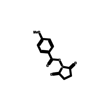 COc1ccc(C(=O)ON2C(=O)CCC2=O)cc1